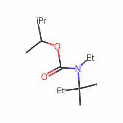 CCN(C(=O)OC(C)C(C)C)C(C)(C)CC